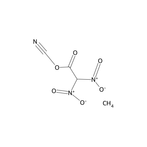 C.N#COC(=O)C([N+](=O)[O-])[N+](=O)[O-]